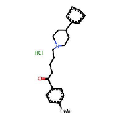 COc1ccc(C(=O)CCCCN2CCC(c3ccccc3)CC2)cc1.Cl